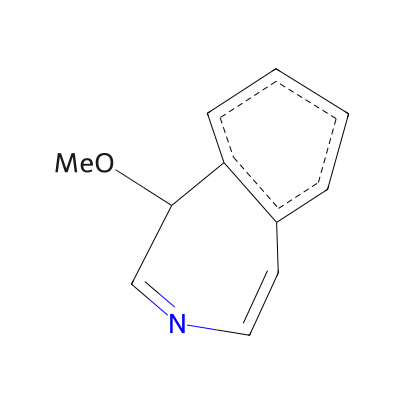 COC1C=NC=Cc2ccccc21